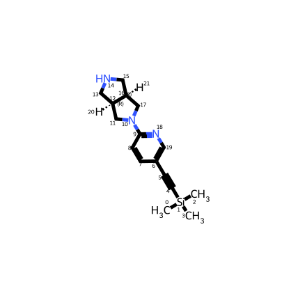 C[Si](C)(C)C#Cc1ccc(N2C[C@H]3CNC[C@H]3C2)nc1